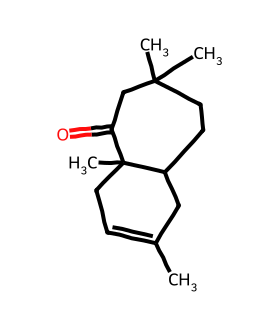 CC1=CCC2(C)C(=O)CC(C)(C)CCC2C1